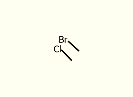 CBr.CCl